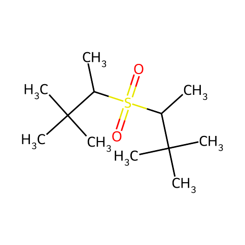 CC(C(C)(C)C)S(=O)(=O)C(C)C(C)(C)C